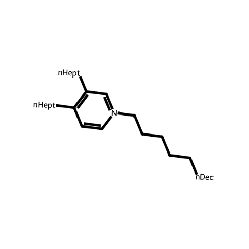 CCCCCCCCCCCCCCC[n+]1ccc(CCCCCCC)c(CCCCCCC)c1